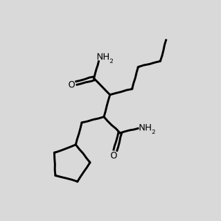 CCCCC(C(N)=O)C(CC1CCCC1)C(N)=O